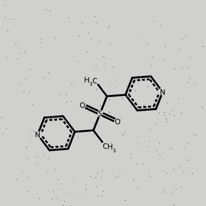 CC(c1ccncc1)S(=O)(=O)C(C)c1ccncc1